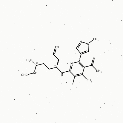 C=CC[C@H](CC[C@@H](C)NC=O)Nc1nc(-c2cnn(C)c2)c(C(N)=O)c(C)c1F